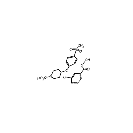 CS(=O)(=O)c1ccc(OC2CCN(C(=O)O)CC2)cc1.O=C(OO)c1cccc(Cl)c1